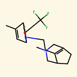 CC1=CC2CC(C(F)(F)F)C1CN2CCC1=C2CCC1CN(C)C2